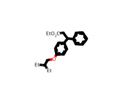 CCOC(=O)CC(c1ccccc1)c1ccc(OCC(CC)CC)cc1